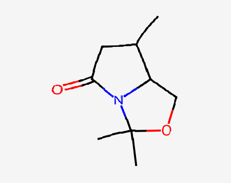 CC1CC(=O)N2C1COC2(C)C